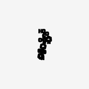 O=C(O)Cn1c(=O)n(C2CCN(S(=O)(=O)c3cccnc3)CC2)c2ncccc21